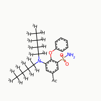 [2H]C([2H])([2H])C([2H])([2H])C([2H])([2H])C([2H])([2H])N(c1cc(C(C)=O)cc(S(N)(=O)=O)c1Oc1ccccc1)C([2H])([2H])C([2H])([2H])C([2H])([2H])C([2H])([2H])[2H]